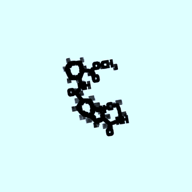 COC(=O)c1ccccc1NC(=O)c1ccc2cc3n(c2c1)CCCNC3=O